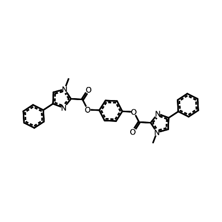 Cn1cc(-c2ccccc2)nc1C(=O)Oc1ccc(OC(=O)c2nc(-c3ccccc3)cn2C)cc1